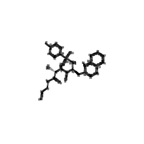 C=CCOC(=O)[C@@H](NC(=O)[C@H](Cc1ccc2ccccc2n1)NS(=O)(=O)c1ccc(C)cc1)C(C)C